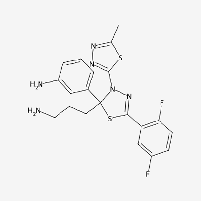 Cc1nnc(N2N=C(c3cc(F)ccc3F)SC2(CCCN)c2cccc(N)c2)s1